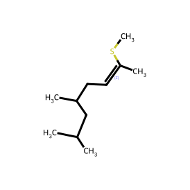 CS/C(C)=C\CC(C)CC(C)C